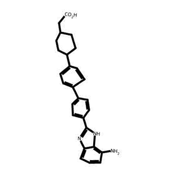 Nc1cccc2nc(-c3ccc(-c4ccc(C5CCC(CC(=O)O)CC5)cc4)cc3)[nH]c12